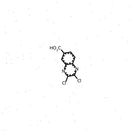 O=C(O)c1ccc2nc(Cl)c(Cl)nc2c1